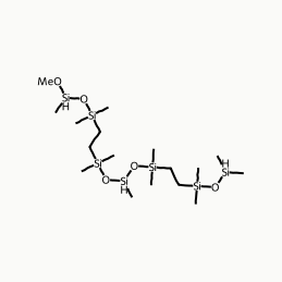 CO[SiH](C)O[Si](C)(C)CC[Si](C)(C)O[SiH](C)O[Si](C)(C)CC[Si](C)(C)O[SiH](C)C